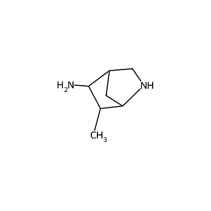 CC1C2CC(CN2)C1N